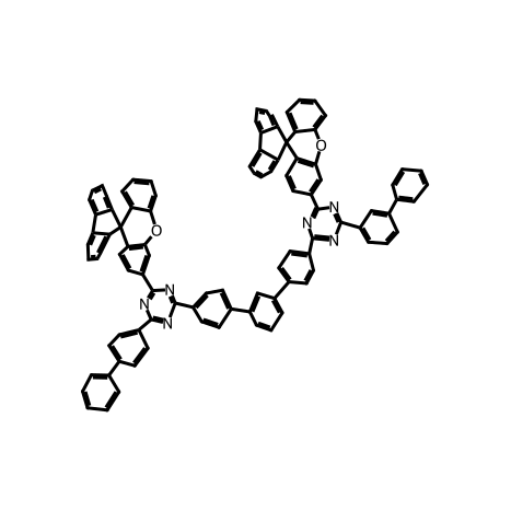 c1ccc(-c2ccc(-c3nc(-c4ccc(-c5cccc(-c6ccc(-c7nc(-c8cccc(-c9ccccc9)c8)nc(-c8ccc9c(c8)Oc8ccccc8C98c9ccccc9-c9ccccc98)n7)cc6)c5)cc4)nc(-c4ccc5c(c4)Oc4ccccc4C54c5ccccc5-c5ccccc54)n3)cc2)cc1